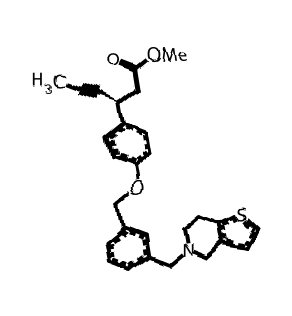 CC#C[C@@H](CC(=O)OC)c1ccc(OCc2cccc(CN3CCc4sccc4C3)c2)cc1